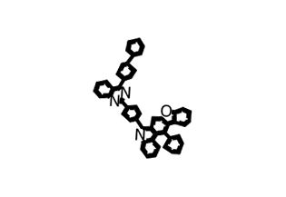 c1ccc(-c2ccc(-c3nc(-c4ccc(-c5nc6ccccc6c6c(-c7ccccc7)c7c(cc56)oc5ccccc57)cc4)nc4ccccc34)cc2)cc1